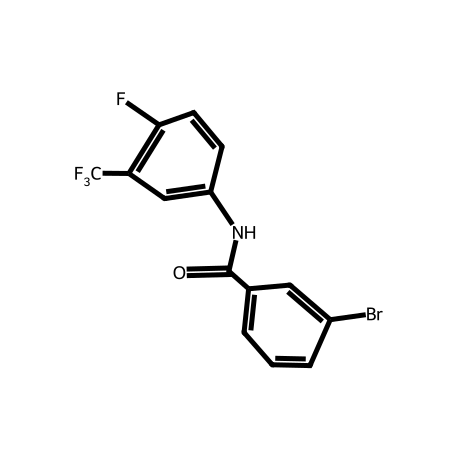 O=C(Nc1ccc(F)c(C(F)(F)F)c1)c1cccc(Br)c1